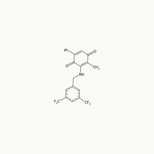 CC1=C(NCc2cc(C(F)(F)F)cc(C(F)(F)F)c2)C(=O)C(C(C)C)=CC1=O